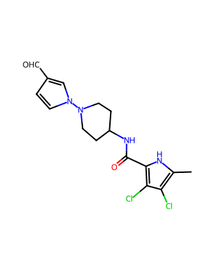 Cc1[nH]c(C(=O)NC2CCN(n3ccc(C=O)c3)CC2)c(Cl)c1Cl